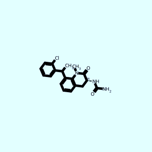 CC(c1ccccc1Cl)c1cccc2c1N(C)C(=O)[C@H](NC(N)=O)C2